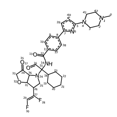 CN1CCN(c2nc(-c3ccc(C(=O)NC(C=O)(C4CCCCC4)N4CC(C(F)=CF)C5OCC(=O)C54)cc3)cs2)CC1